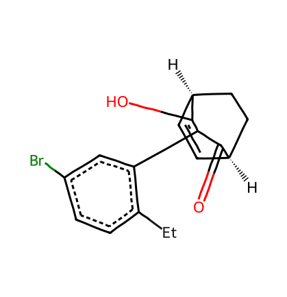 CCc1ccc(Br)cc1C1=C(O)[C@H]2C=C[C@H](CC2)C1=O